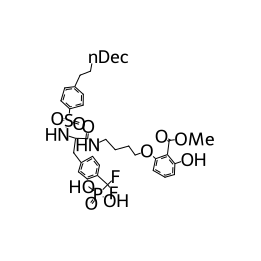 CCCCCCCCCCCCc1ccc(S(=O)(=O)NC(Cc2ccc(C(F)(F)P(=O)(O)O)cc2)C(=O)NCCCCOc2cccc(O)c2C(=O)OC)cc1